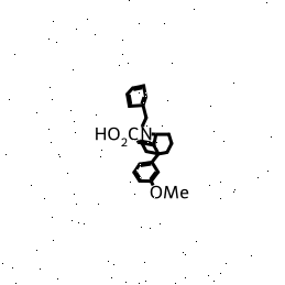 COc1cccc(C23CCCC(/C2=C\C(=O)O)N(CCc2ccccc2)CC3)c1